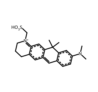 CN(C)c1ccc2c(c1)C(C)(C)c1cc3c(cc1=C2)CCC[N+]=3CS(=O)(=O)O